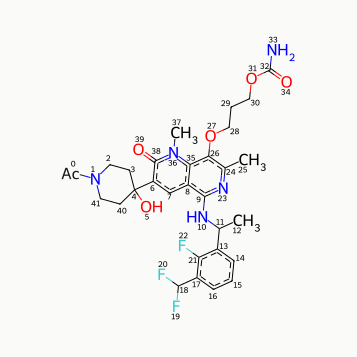 CC(=O)N1CCC(O)(c2cc3c(NC(C)c4cccc(C(F)F)c4F)nc(C)c(OCCCOC(N)=O)c3n(C)c2=O)CC1